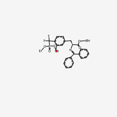 CCOP(=O)(OCC)C(F)(F)c1ccc(C[C@H](N=C(c2ccccc2)c2ccccc2)C(=O)OC(C)(C)C)cc1Br